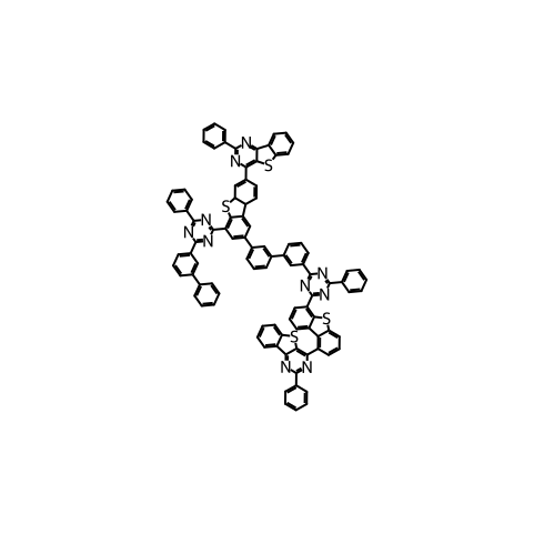 C1=CC2c3cc(-c4cccc(-c5cccc(-c6nc(-c7ccccc7)nc(-c7cccc8c7sc7cccc(-c9nc(-c%10ccccc%10)nc%10c9sc9ccccc9%10)c78)n6)c5)c4)cc(-c4nc(-c5ccccc5)nc(-c5cccc(-c6ccccc6)c5)n4)c3SC2C=C1c1nc(-c2ccccc2)nc2c1sc1ccccc12